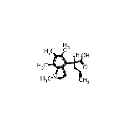 C=CCC(C)(C(=O)O)c1c(C)c(C)c(C)c2c1ccn2C